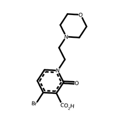 O=C(O)c1c(Br)ccn(CCN2CCOCC2)c1=O